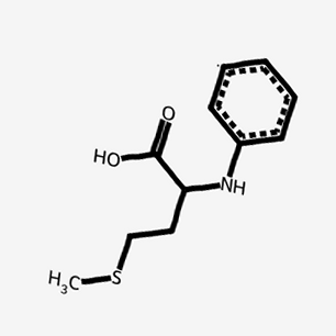 CSCCC(Nc1c[c]ccc1)C(=O)O